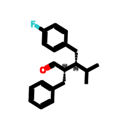 CC(C)[C@@H](Cc1ccc(F)cc1)[C@@H](C=O)Cc1ccccc1